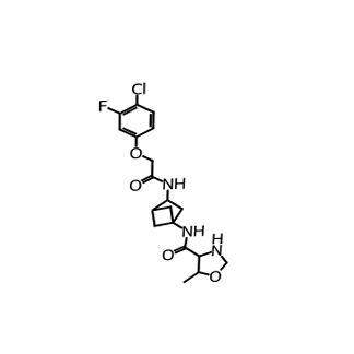 CC1OCNC1C(=O)NC12CC(C1)C(NC(=O)COc1ccc(Cl)c(F)c1)C2